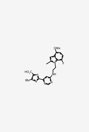 COc1ccc(F)c2c1cc(C)n2CCNc1cc(-c2nc(C(C)(C)C)c(C(=O)O)s2)ncn1